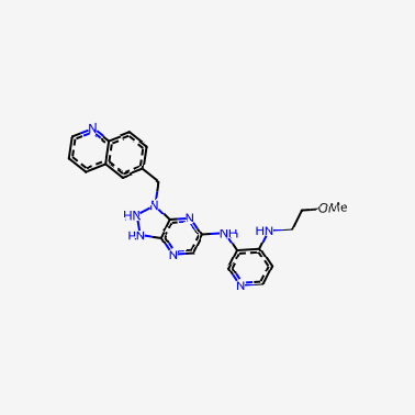 COCCNc1ccncc1Nc1cnc2c(n1)N(Cc1ccc3ncccc3c1)NN2